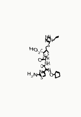 C=CCn1nnnc1SCC1=C(C(=O)O)N2C(=O)C(NC(=O)C(=NOC3C=CCC3)c3csc(N)n3)[C@@H]2SC1